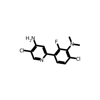 CN(C)c1c(Cl)ccc(-c2cc(N)c(Cl)cn2)c1F